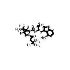 Cc1cccc2c1C(C[C@@H](C#N)NC(=O)[C@@H]1[C@@H]3[C@H](CN1C(=O)CC(C)(C)C)C3(C)C)C(=O)N2